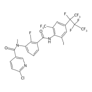 CN(C(=O)c1ccc(Cl)nc1)c1cccc(C(=O)Nc2c(I)cc(C(F)(C(F)(F)F)C(F)(F)C(F)(F)F)cc2C(F)(F)F)c1F